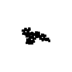 O=C(c1nnc(-c2ccc(C(F)(F)F)cn2)o1)N1CCc2[nH]cnc2[C@H]1c1cc2c(F)cccn2n1